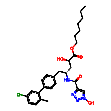 CCCCCCCOC(=O)[C@H](O)C[C@@H](Cc1ccc(-c2cc(Cl)ccc2C)cc1)NC(=O)c1cn(O)nn1